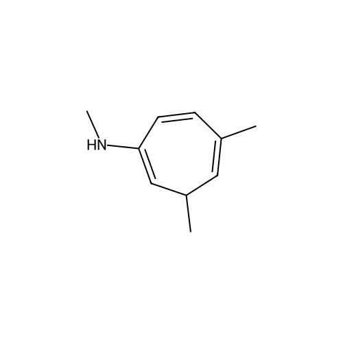 CNC1=CC(C)C=C(C)C=C1